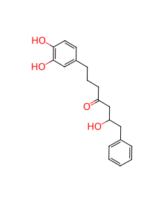 O=C(CCCc1ccc(O)c(O)c1)CC(O)Cc1ccccc1